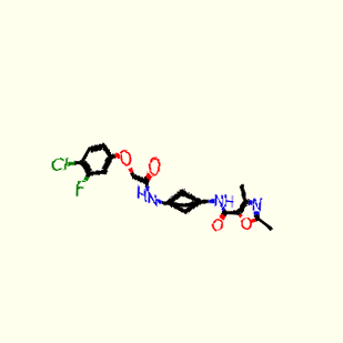 Cc1nc(C)c(C(=O)NC23CC(NC(=O)COc4ccc(Cl)c(F)c4)(C2)C3)o1